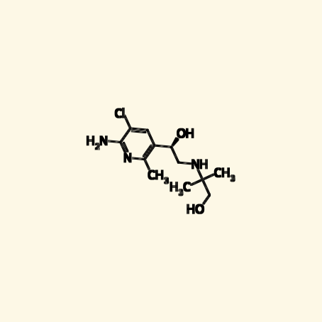 Cc1nc(N)c(Cl)cc1[C@@H](O)CNC(C)(C)CO